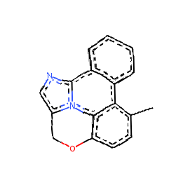 Cc1ccc2c3c1c1ccccc1c1ncc(n13)CO2